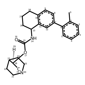 Cc1ccccc1-c1ccc2c(c1)C(NC(=O)O[C@H]1CN3CCC1CC3)CCC2